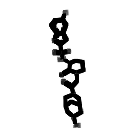 CC(=O)N1CC2CC(C1)CN(C(=O)CN1CCC[C@H](NS(=O)(=O)c3cc4cc(Cl)ccc4s3)C1=O)C2